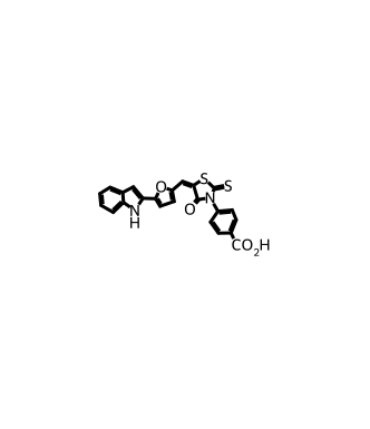 O=C(O)c1ccc(N2C(=O)C(=Cc3ccc(-c4cc5ccccc5[nH]4)o3)SC2=S)cc1